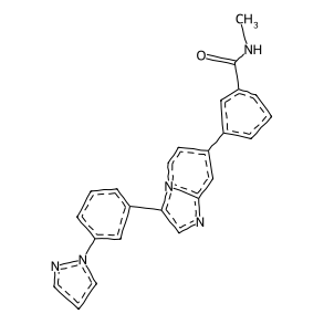 CNC(=O)c1cccc(-c2ccn3c(-c4cccc(-n5cccn5)c4)cnc3c2)c1